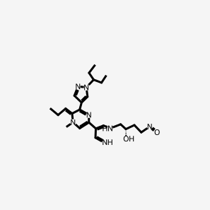 CC/C=C1/C(c2cnn(C(CC)CC)c2)=NC(/C(C=N)=C/NC[C@@H](O)CCN=O)=CN1C